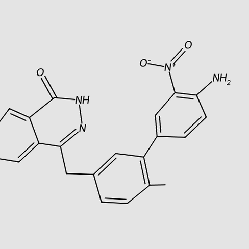 Cc1ccc(Cc2n[nH]c(=O)c3ccccc23)cc1-c1ccc(N)c([N+](=O)[O-])c1